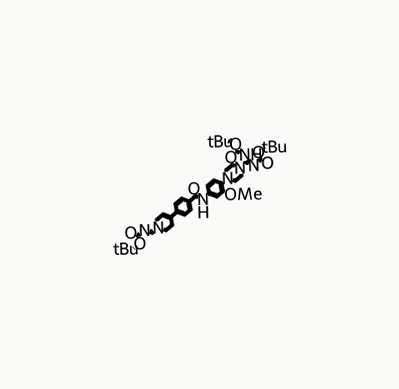 COc1cc(NC(=O)c2ccc(C3=CCN(C=NC(=O)OC(C)(C)C)CC3)cc2)ccc1N1CCN(C(=NC(=O)OC(C)(C)C)NC(=O)OC(C)(C)C)CC1